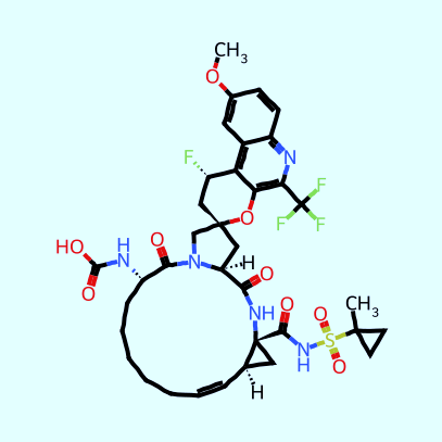 COc1ccc2nc(C(F)(F)F)c3c(c2c1)[C@@H](F)C[C@]1(C[C@H]2C(=O)N[C@]4(C(=O)NS(=O)(=O)C5(C)CC5)C[C@H]4/C=C\CCCCC[C@H](NC(=O)O)C(=O)N2C1)O3